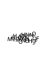 COC[C@]1(C)C(=O)Nc2c(C)nc(NC3CN(C(=O)c4cc(F)c(F)c(F)c4)C3)nc2N1C